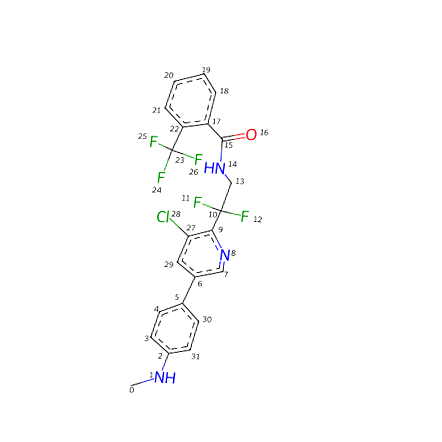 CNc1ccc(-c2cnc(C(F)(F)CNC(=O)c3ccccc3C(F)(F)F)c(Cl)c2)cc1